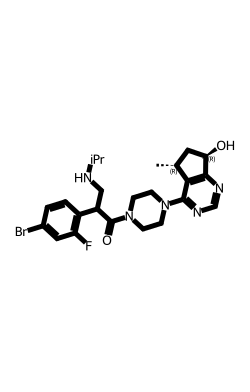 CC(C)NCC(C(=O)N1CCN(c2ncnc3c2[C@H](C)C[C@H]3O)CC1)c1ccc(Br)cc1F